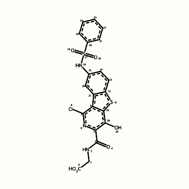 O=C(O)CNC(=O)c1nc(Cl)c2c(sc3ccc(NS(=O)(=O)c4ccccc4)cc32)c1O